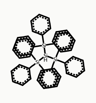 c1ccc([Si](c2ccccc2)(c2ccccc2)[SiH]([Si](c2ccccc2)(c2ccccc2)c2ccccc2)[Si](c2ccccc2)(c2ccccc2)c2ccccc2)cc1